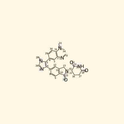 C=Nc1cc(-c2c(-c3ccc4c(c3)CN([C@H]3CCC(=O)NC3=O)C4=O)ncn2C)ccc1N(C)C